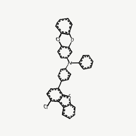 Clc1ccc(-c2ccc(N(c3ccccc3)c3ccc4c(c3)Oc3ccccc3O4)cc2)c2sc3ccccc3c12